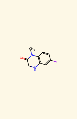 CN1C(=O)CNc2cc(I)ccc21